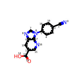 N#Cc1ccc(-n2cnc3cc(C(=O)O)cnc32)cc1